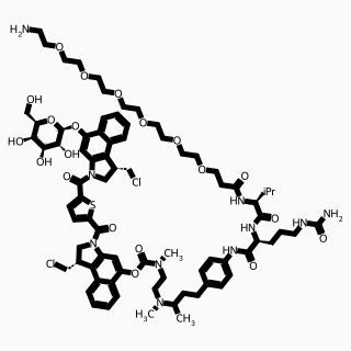 CC(C)[C@H](NC(=O)CCOCCOCCOCCOCCOCCOCCN)C(=O)N[C@@H](CCCNC(N)=O)C(=O)Nc1ccc(CCC(C)N(C)CCN(C)C(=O)Oc2cc3c(c4ccccc24)[C@H](CCl)CN3C(=O)c2ccc(C(=O)N3C[C@@H](CCl)c4c3cc(O[C@@H]3O[C@H](CO)[C@H](O)[C@H](O)[C@H]3O)c3ccccc43)s2)cc1